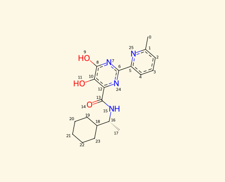 Cc1cccc(-c2nc(O)c(O)c(C(=O)N[C@H](C)C3CCCCC3)n2)n1